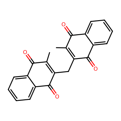 CC1=C(CC2=C(C)C(=O)c3ccccc3C2=O)C(=O)c2ccccc2C1=O